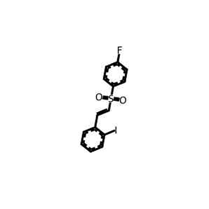 O=S(=O)(C=Cc1ccccc1I)c1ccc(F)cc1